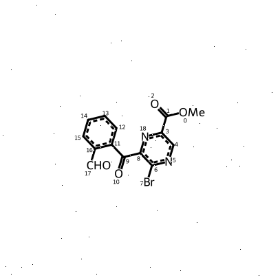 COC(=O)c1cnc(Br)c(C(=O)c2ccccc2C=O)n1